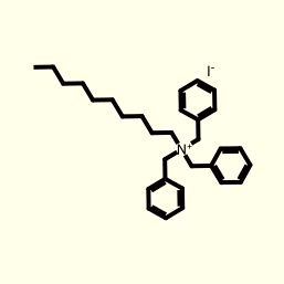 CCCCCCCCCC[N+](Cc1ccccc1)(Cc1ccccc1)Cc1ccccc1.[I-]